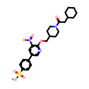 CS(=O)(=O)c1ccc(-c2cnc(OCC3CCN(C(=O)CC4CCCCC4)CC3)c([N+](=O)[O-])c2)cc1